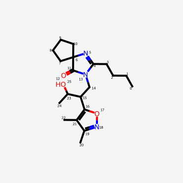 CCCCC1=NC2(CCCC2)C(=O)N1C[C](c1onc(C)c1C)C(C)O